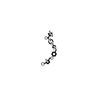 O=C(c1cscn1)N1CCN(C2CN(Cc3ccc(OCc4ccc(Cl)s4)cc3)C2)CC1